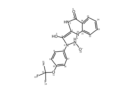 O=C1NC2=C(O)N(c3ccc(OC(F)(F)F)cc3)[NH+]([O-])N2c2ccccc21